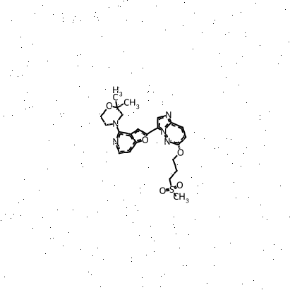 CC1(C)CN(c2nccc3oc(-c4cnc5ccc(OCCCS(C)(=O)=O)nn45)cc23)CCO1